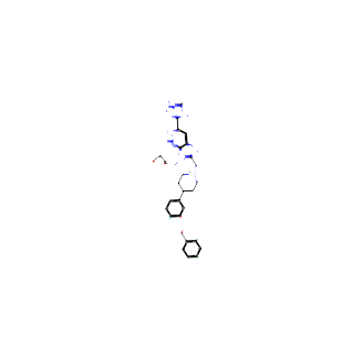 Fc1cc(Cl)ccc1COc1cc(C2CCN(Cc3nc4cc(-c5nnc(C(F)(F)F)[nH]5)nnc4n3C[C@@H]3CCO3)CC2)ccc1F